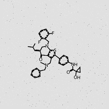 CC(C)C=C1CN(Cc2c(F)cccc2F)c2sc(-c3ccc(NC(=O)C4(O)CC4)cc3)c(CN(C)Cc3ccccc3)c2C1=O